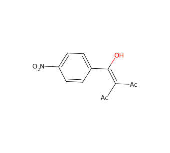 CC(=O)C(C(C)=O)=C(O)c1ccc([N+](=O)[O-])cc1